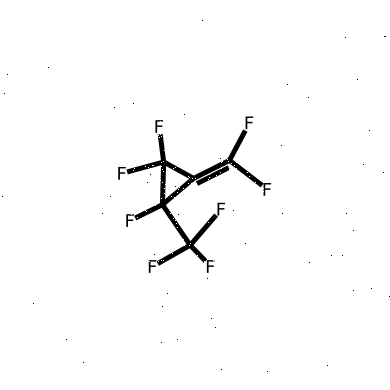 FC(F)=C1C(F)(F)C1(F)C(F)(F)F